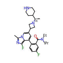 CCN(C(=O)c1cc(F)ccc1-c1cc(C2CN([C@H](C)C3CCNCC3)C2)cn2c(C)nc(F)c12)C(C)C